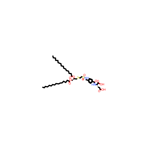 CCCCCCCCCCCCCCCC(=O)OC[C@H](CSCCS(=O)(=O)NCc1ccc(C(=O)N[C@@H](CCC(=O)O)C(=O)O)cc1)OC(=O)CCCCCCCCCCCCCCC